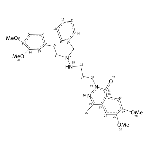 COc1ccc(CCN(Cc2ccccc2)NCCCn2nc(C)c3cc(OC)c(OC)cc3c2=O)cc1OC